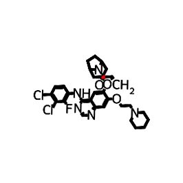 C=CC(=O)N1C2CCC1CC(Oc1cc3c(Nc4ccc(Cl)c(Cl)c4F)ncnc3cc1OCCN1CCCCC1)C2